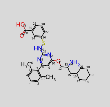 Cc1cccc(C)c1-c1cc(OCC(N)CC2CCCCC2)nc(NSc2cccc(C(=O)O)c2)n1